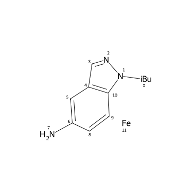 CCC(C)n1ncc2cc(N)ccc21.[Fe]